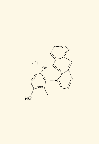 Cc1c(O)ccc(O)c1-c1cccc2cc3ccccc3cc12.Cl